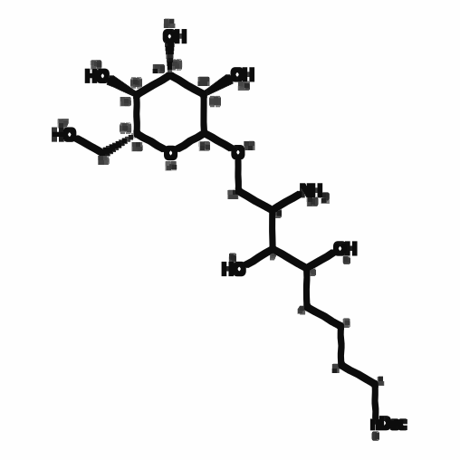 CCCCCCCCCCCCCCC(O)C(O)C(N)COC1O[C@H](CO)[C@@H](O)[C@H](O)[C@H]1O